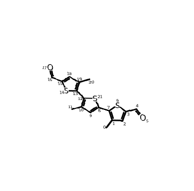 Cc1cc(C=O)sc1-c1cc(C)c(-c2sc(C=O)cc2C)s1